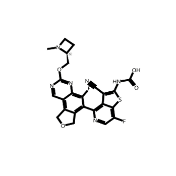 CN1CC[C@H]1COc1ncc2c3c(c(-c4ncc(F)c5sc(NC(=O)O)c(C#N)c45)c(F)c2n1)COC3